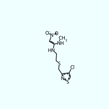 CNC(=C[N+](=O)[O-])NCCSCc1nscc1Cl